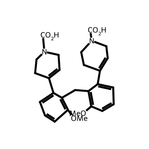 COc1cccc(C2=CCN(C(=O)O)CC2)c1Cc1c(OC)cccc1C1=CCN(C(=O)O)CC1